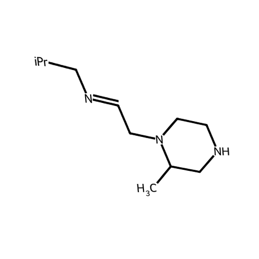 CC(C)CN=CCN1CCNCC1C